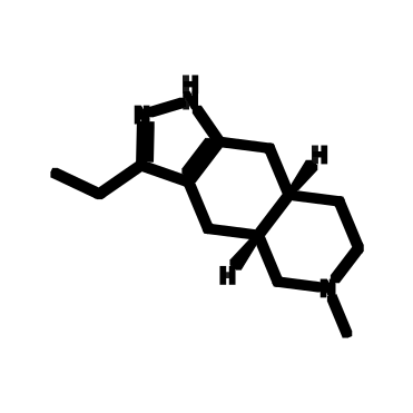 CCc1n[nH]c2c1C[C@H]1CN(C)CC[C@H]1C2